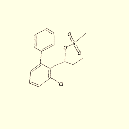 CCC(OS(C)(=O)=O)c1c(Cl)cccc1-c1ccccc1